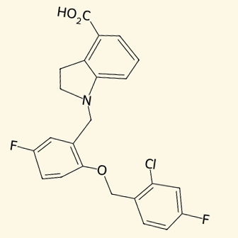 O=C(O)c1cccc2c1CCN2Cc1cc(F)ccc1OCc1ccc(F)cc1Cl